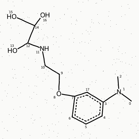 CN(C)c1cccc(OCCNC(O)C(O)O)c1